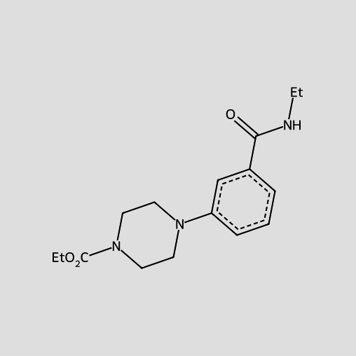 CCNC(=O)c1cccc(N2CCN(C(=O)OCC)CC2)c1